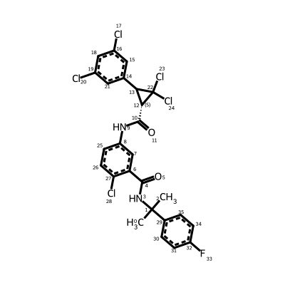 CC(C)(NC(=O)c1cc(NC(=O)[C@@H]2C(c3cc(Cl)cc(Cl)c3)C2(Cl)Cl)ccc1Cl)c1ccc(F)cc1